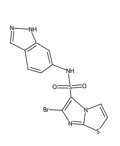 O=S(=O)(Nc1ccc2cn[nH]c2c1)c1c(Br)nc2sccn12